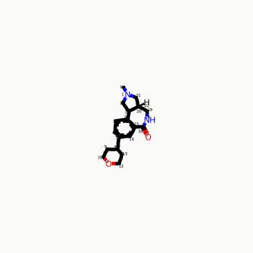 CN1CC2c3ccc(C4CCOCC4)cc3C(=O)NC[C@H]2C1